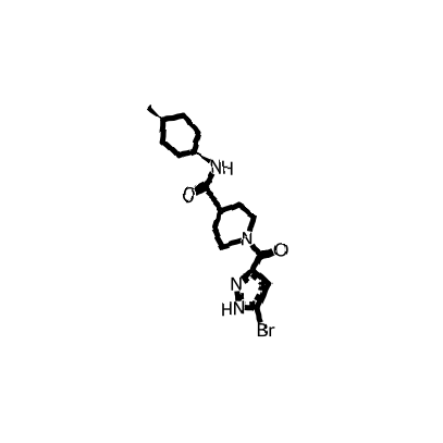 C[C@H]1CC[C@@H](NC(=O)C2CCN(C(=O)c3cc(Br)[nH]n3)CC2)CC1